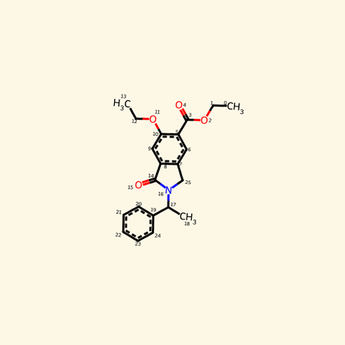 CCOC(=O)c1cc2c(cc1OCC)C(=O)N(C(C)c1ccccc1)C2